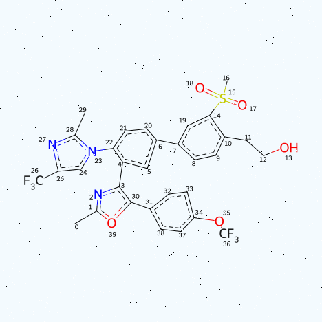 Cc1nc(-c2cc(-c3ccc(CCO)c(S(C)(=O)=O)c3)ccc2-n2cc(C(F)(F)F)nc2C)c(-c2ccc(OC(F)(F)F)cc2)o1